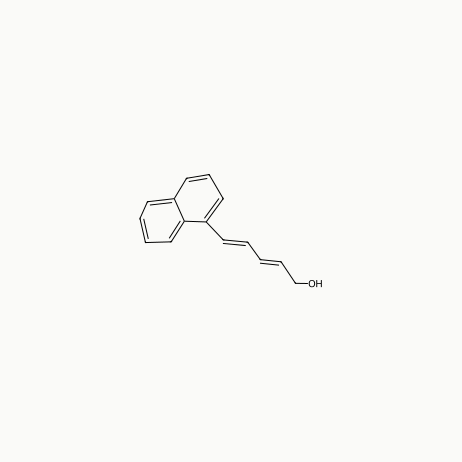 OCC=CC=Cc1cccc2ccccc12